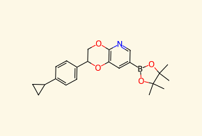 CC1(C)OB(c2cnc3c(c2)OC(c2ccc(C4CC4)cc2)CO3)OC1(C)C